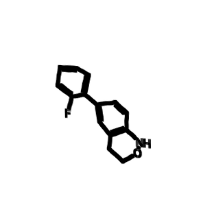 Fc1ccccc1-c1ccc2c(c1)CCON2